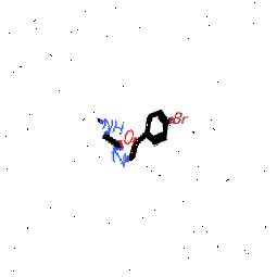 CNCc1ncc(-c2ccc(Br)cc2)o1